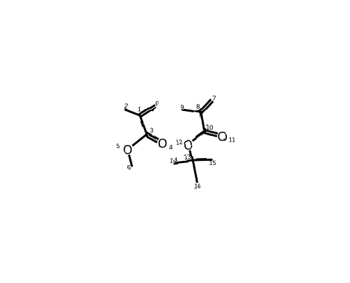 C=C(C)C(=O)OC.C=C(C)C(=O)OC(C)(C)C